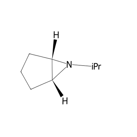 CC(C)N1[C@@H]2CCC[C@@H]21